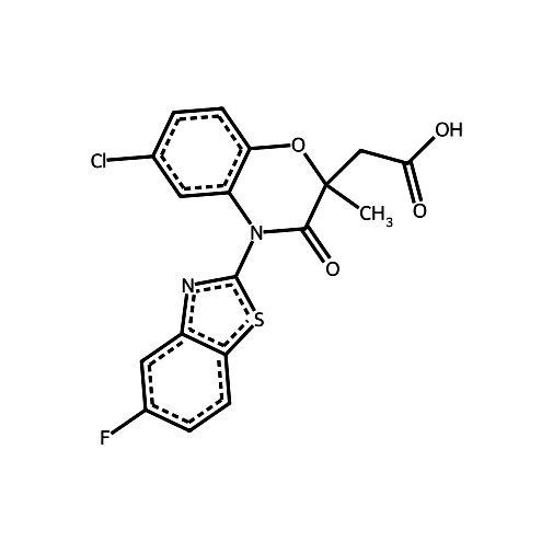 CC1(CC(=O)O)Oc2ccc(Cl)cc2N(c2nc3cc(F)ccc3s2)C1=O